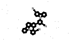 N#Cc1cc(-c2cccc(-c3c(C#N)cccc3-n3c4ccccc4c4ccccc43)c2)cc(-n2c3ccccc3c3cc(C#N)ccc32)c1